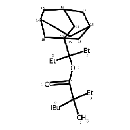 CCC(C)C(C)(CC)C(=O)OC(CC)(CC)C12CC3CC(CC(C3)C1)C2